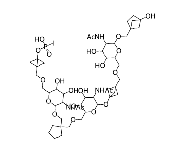 CC(=O)NC1C(OCC2(COCC3OC(OC45CC(COCC6OC(OCC78CCC(O)(C7)C8)C(NC(C)=O)C(O)C6O)(C4)C5)C(NC(C)=O)C(O)C3O)CCCC2)OC(COCC23CC2(OP(=O)(O)I)C3)C(O)C1O